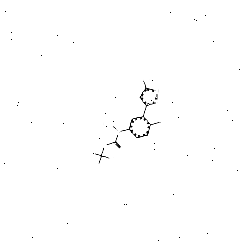 Cc1cc(-c2cc(N(C)C(=O)OC(C)(C)C)ccc2F)n[nH]1